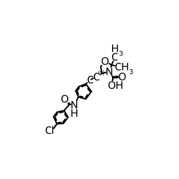 CC1(C)OC[C@H](CCc2ccc(NC(=O)c3ccc(Cl)cc3)cc2)N1C(=O)O